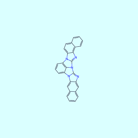 c1ccc2cc3c(cc2c1)nc1n3c2cccc3c2n1c1nc2c4ccccc4ccc2n31